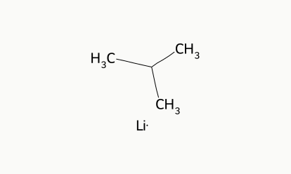 CC(C)C.[Li]